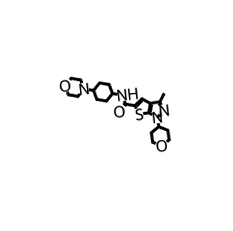 Cc1nn(C2CCOCC2)c2sc(C(=O)NC3CCC(N4CCOCC4)CC3)cc12